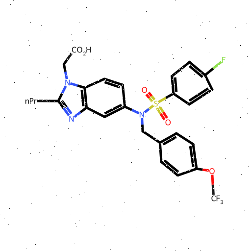 CCCc1nc2cc(N(Cc3ccc(OC(F)(F)F)cc3)S(=O)(=O)c3ccc(F)cc3)ccc2n1CC(=O)O